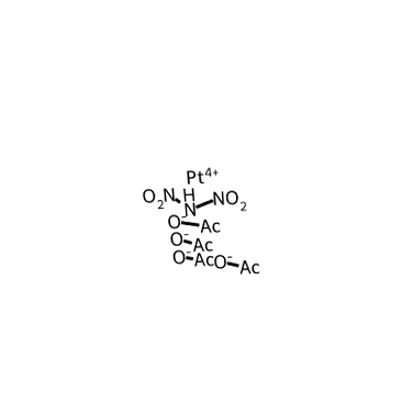 CC(=O)[O-].CC(=O)[O-].CC(=O)[O-].CC(=O)[O-].O=[N+]([O-])N[N+](=O)[O-].[Pt+4]